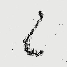 Cn1cc(NC(=O)c2nc(NC(=O)CCNC(=O)c3cc(NC(=O)c4nccn4C)cn3C)cn2C)cc1C(=O)NCCC(=O)Nc1cn(C)c(C(=O)NCCC(=O)NCCOCCOCCOCCOCCOCCOCCOCCOCCn2cc(CNC(=O)OC(C)(C)C)nn2)n1